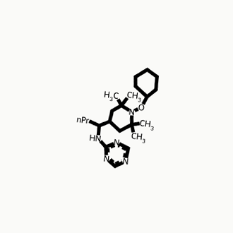 CCCC(Nc1ncncn1)C1CC(C)(C)N(OC2CCCCC2)C(C)(C)C1